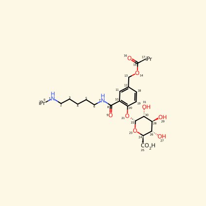 CC(C)NCCCCCNC(=O)c1cc(COC(=O)C(C)C)ccc1O[C@H]1O[C@H](C(=O)O)[C@@H](O)[C@H](O)[C@H]1O